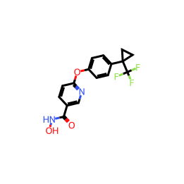 O=C(NO)c1ccc(Oc2ccc(C3(C(F)(F)F)CC3)cc2)nc1